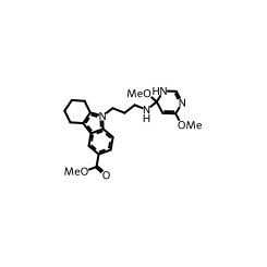 COC(=O)c1ccc2c(c1)c1c(n2CCCNC2(OC)C=C(OC)N=CN2)CCCC1